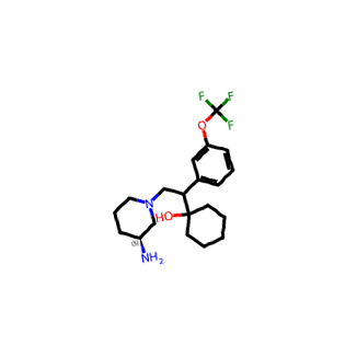 N[C@H]1CCCN(CC(c2cccc(OC(F)(F)F)c2)C2(O)CCCCC2)C1